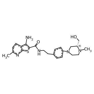 Cc1ccc2c(N)c(C(=O)NCCc3ccc(N4CCN(C)[C@@H](CO)C4)cc3)sc2n1